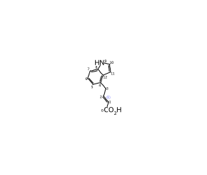 O=C(O)/C=C/Cc1cccc2[nH]ccc12